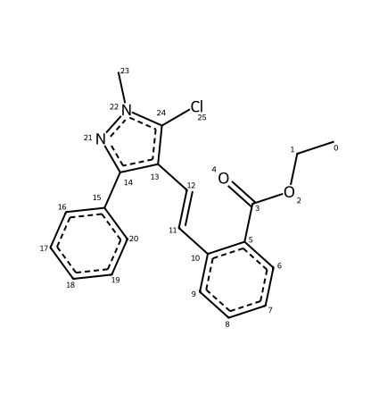 CCOC(=O)c1ccccc1/C=C/c1c(-c2ccccc2)nn(C)c1Cl